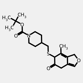 CC1=C2COC=C2CC(=O)C1SCC1CCN(C(=O)OC(C)(C)C)CC1